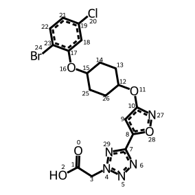 O=C(O)Cn1nnc(-c2cc(OC3CCC(Oc4cc(Cl)ccc4Br)CC3)no2)n1